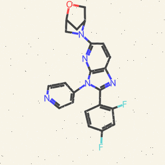 Fc1ccc(-c2nc3ccc(N4CC5CC4CO5)nc3n2-c2ccncc2)c(F)c1